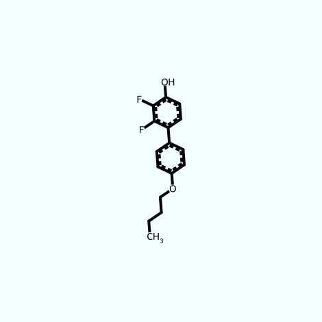 CCCCOc1ccc(-c2ccc(O)c(F)c2F)cc1